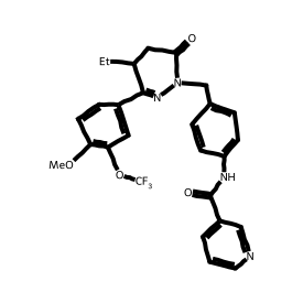 CCC1CC(=O)N(Cc2ccc(NC(=O)c3cccnc3)cc2)N=C1c1ccc(OC)c(OC(F)(F)F)c1